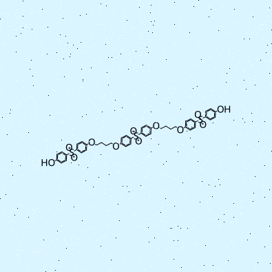 O=S(=O)(c1ccc(O)cc1)c1ccc(OCCCCOc2ccc(S(=O)(=O)c3ccc(OCCCCOc4ccc(S(=O)(=O)c5ccc(O)cc5)cc4)cc3)cc2)cc1